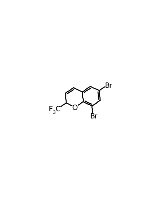 FC(F)(F)C1C=Cc2cc(Br)cc(Br)c2O1